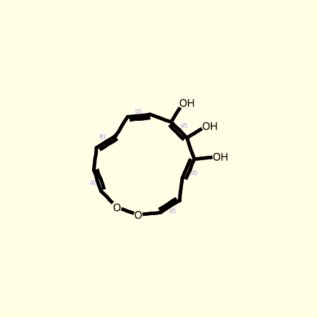 OC1=C\C=C/OO/C=C\C=C\C=C/C(O)=C\1O